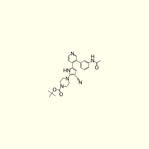 CC(=O)Nc1cccc(-c2cnccc2-c2cc(C#N)c(N3CCN(C(=O)OC(C)(C)C)CC3)[nH]2)c1